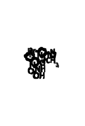 CC(Oc1cc2ncccc2nc1NC(=O)O)c1nc(Br)ccc1-n1cccn1